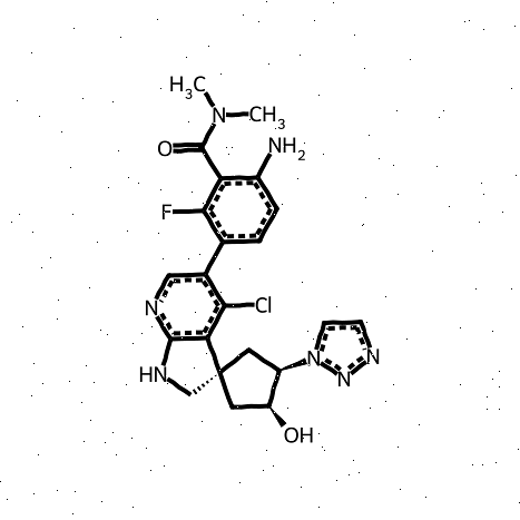 CN(C)C(=O)c1c(N)ccc(-c2cnc3c(c2Cl)[C@@]2(CN3)C[C@@H](n3ccnn3)[C@@H](O)C2)c1F